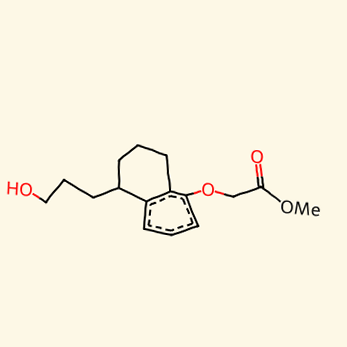 COC(=O)COc1cccc2c1CCCC2CCCO